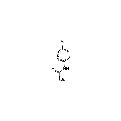 CC(=O)c1ccc(NC(=O)C(C)(C)C)nc1